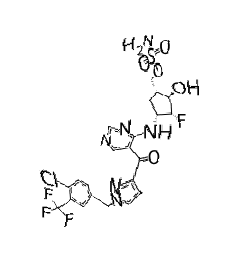 NS(=O)(=O)OC[C@H]1C[C@@H](Nc2ncncc2C(=O)c2ccn(Cc3ccc(Cl)c(C(F)(F)F)c3)n2)[C@@H](F)[C@@H]1O